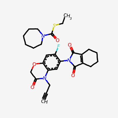 C#CCN1C(=O)COc2cc(F)c(N3C(=O)C4=C(CCCC4)C3=O)cc21.CCSC(=O)N1CCCCCC1